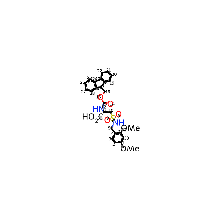 COc1ccc(CNS(=O)(=O)C[C@H](NC(=O)OCC2c3ccccc3-c3ccccc32)C(=O)O)c(OC)c1